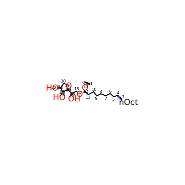 C=C.CCCCCCCC/C=C\CCCCCCCC(=O)OC[C@@H](O)[C@H]1OC[C@H](O)[C@H]1O